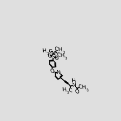 CC(=O)NC(C)C#Cc1ccc(Oc2ccc(S(=O)(=O)N(C)C(C)C)cc2)nc1